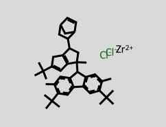 Cc1cc2c(cc1C(C)(C)C)-c1cc(C(C)(C)C)c(C)cc1C2C1(C)CC(C2CC3C=CC2C3)C2=C1C=C(C(C)(C)C)C2.[Cl-].[Cl-].[Zr+2]